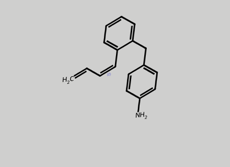 C=C/C=C\c1ccccc1Cc1ccc(N)cc1